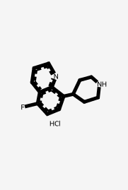 Cl.Fc1ccc(C2CCNCC2)c2ncccc12